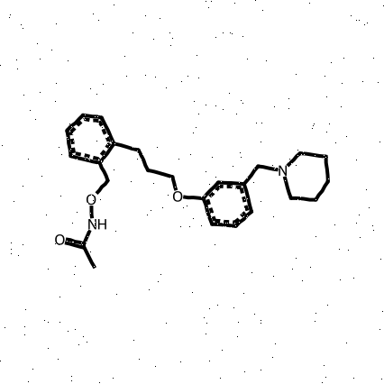 CC(=O)NOCc1ccccc1CCCOc1cccc(CN2CCCCC2)c1